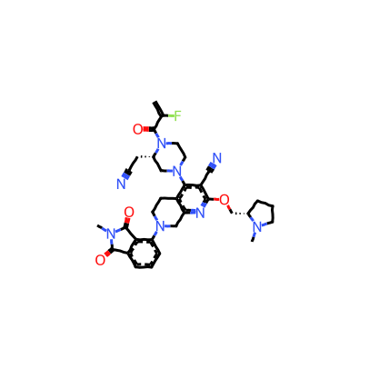 C=C(F)C(=O)N1CCN(c2c(C#N)c(OC[C@@H]3CCCN3C)nc3c2CCN(c2cccc4c2C(=O)N(C)C4=O)C3)C[C@@H]1CC#N